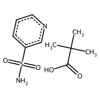 CC(C)(C)C(=O)O.NS(=O)(=O)c1cccnc1